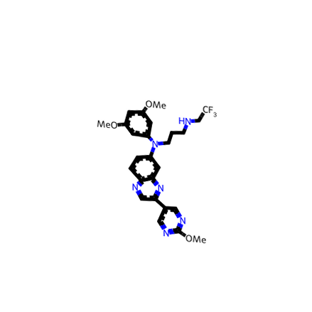 COc1cc(OC)cc(N(CCCNCC(F)(F)F)c2ccc3ncc(-c4cnc(OC)nc4)nc3c2)c1